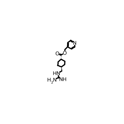 N=C(N)NC[C@H]1CC[C@H](C(=O)OCc2ccncc2)CC1